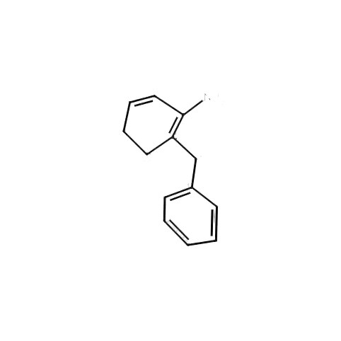 NC1=C(Cc2ccccc2)[CH]CC=C1